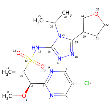 CO[C@H](c1ncc(Cl)cn1)[C@H](C)S(=O)(=O)Nc1nnc(C2CCOC2)n1C(C)C